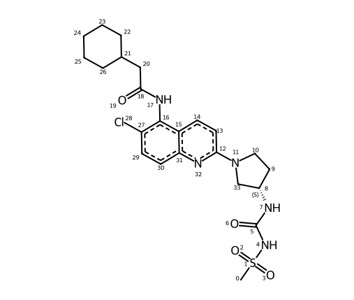 CS(=O)(=O)NC(=O)N[C@H]1CCN(c2ccc3c(NC(=O)CC4CCCCC4)c(Cl)ccc3n2)C1